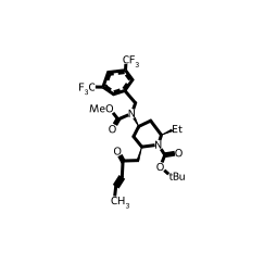 CC#CC(=O)C[C@H]1C[C@@H](N(Cc2cc(C(F)(F)F)cc(C(F)(F)F)c2)C(=O)OC)C[C@@H](CC)N1C(=O)OC(C)(C)C